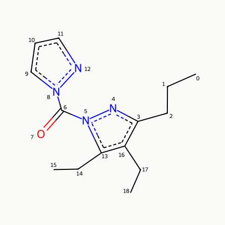 CCCc1nn(C(=O)n2cccn2)c(CC)c1CC